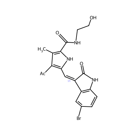 CC(=O)c1c(/C=C2\C(=O)Nc3ccc(Br)cc32)[nH]c(C(=O)NCCO)c1C